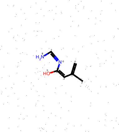 C=C(C)/C=C(O)\N=C/N